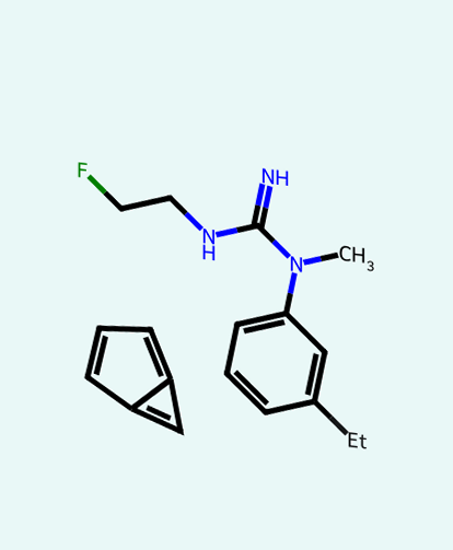 CCc1cccc(N(C)C(=N)NCCF)c1.c1cc2cc-2c1